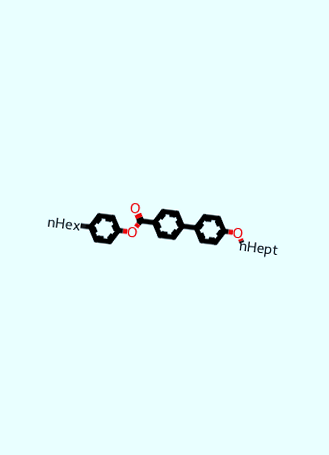 CCCCCCCOc1ccc(-c2ccc(C(=O)Oc3ccc(CCCCCC)cc3)cc2)cc1